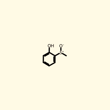 C[S+]([O-])c1ccccc1O